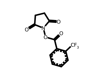 O=C(ON1C(=O)CCC1=O)c1ccccc1C(F)(F)F